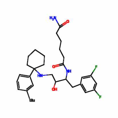 CC(C)(C)c1cccc(C2(NCC(O)C(Cc3cc(F)cc(F)c3)NC(=O)CCCCC(N)=O)CCCCC2)c1